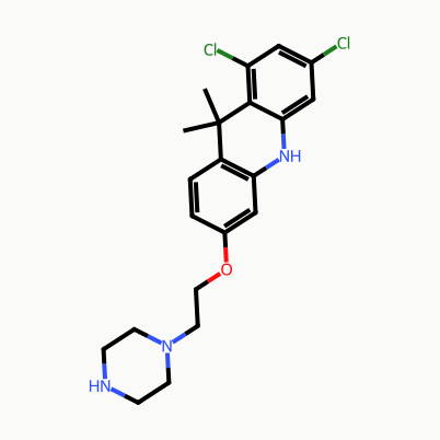 CC1(C)c2ccc(OCCN3CCNCC3)cc2Nc2cc(Cl)cc(Cl)c21